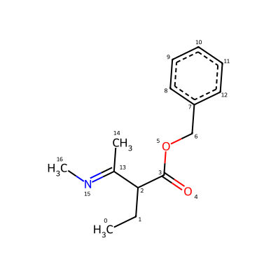 CCC(C(=O)OCc1ccccc1)/C(C)=N/C